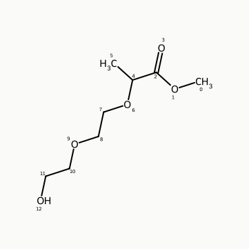 COC(=O)C(C)OCCOCCO